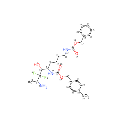 CC(=O)C(N)C(F)(F)C(O)C(CCCCNC(=O)OCc1ccccc1)NC(=O)OCc1ccc([N+](=O)[O-])cc1